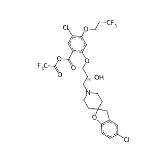 O=C(OC(=O)C(F)(F)F)c1cc(Cl)c(OCCC(F)(F)F)cc1OC[C@H](O)CN1CCC2(CC1)Cc1cc(Cl)ccc1O2